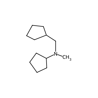 CN(CC1CCCC1)C1CCCC1